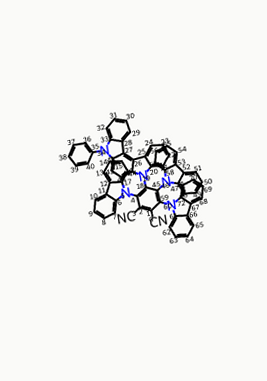 N#Cc1c(C#N)c(-n2c3ccccc3c3ccccc32)c(-n2c3ccccc3c3c4c5ccccc5n(-c5ccccc5)c4ccc32)c(-n2c3ccccc3c3ccccc32)c1-n1c2ccccc2c2ccccc21